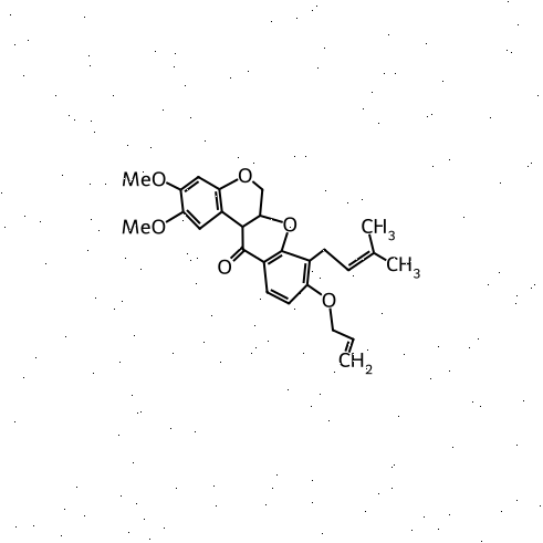 C=CCOc1ccc2c(c1CC=C(C)C)OC1COc3cc(OC)c(OC)cc3C1C2=O